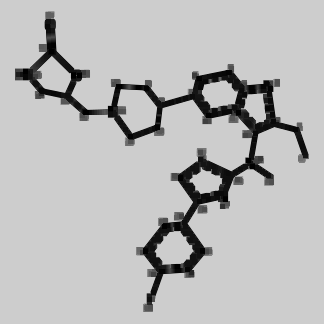 CCc1nc2ccc(C3CCN(CC4CNC(=O)O4)CC3)cn2c1N(C)c1nc(-c2ccc(F)cc2)cs1